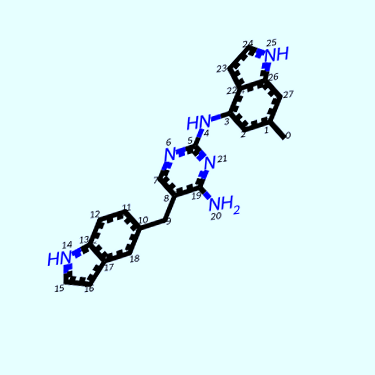 Cc1cc(Nc2ncc(Cc3ccc4[nH]ccc4c3)c(N)n2)c2cc[nH]c2c1